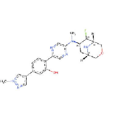 CN(c1cnc(-c2ccc(-c3cnn(C)c3)cc2O)cn1)[C@@H]1C[C@H]2COC[C@H](N2)[C@@H]1F